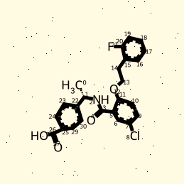 C[C@H](NC(=O)c1cc(Cl)ccc1OCCc1ccccc1F)c1ccc(C(=O)O)cc1